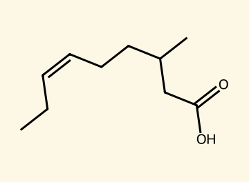 CC/C=C\CCC(C)CC(=O)O